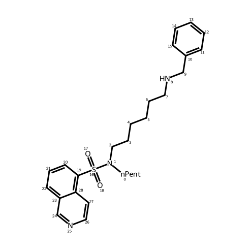 CCCCCN(CCCCCCNCc1ccccc1)S(=O)(=O)c1cccc2cnccc12